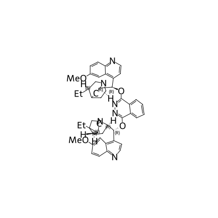 CC[C@H]1CN2CCC1C[C@@H]2[C@H](Oc1nnc(O[C@H](c2ccnc3ccc(OC)cc23)[C@H]2C[C@H]3CCN2C[C@H]3CC)c2ccccc12)c1ccnc2ccc(OC)cc12